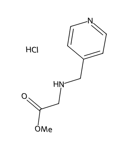 COC(=O)CNCc1ccncc1.Cl